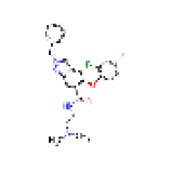 CN(C)CCNC(=O)c1cc2nn(Cc3ccccc3)cc2cc1Oc1ccc(F)cc1F